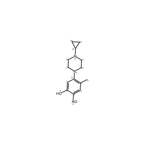 Cc1cc(N=O)c(O)cc1N1CCN(C2CC2)CC1